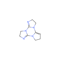 C1=C2N(CC1)C1=NCCN1C1=NCCN21